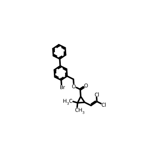 CC1(C)C(C=C(Cl)Cl)C1C(=O)OCc1cc(-c2ccccc2)ccc1Br